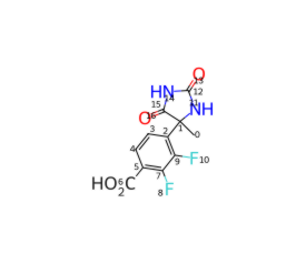 CC1(c2ccc(C(=O)O)c(F)c2F)NC(=O)NC1=O